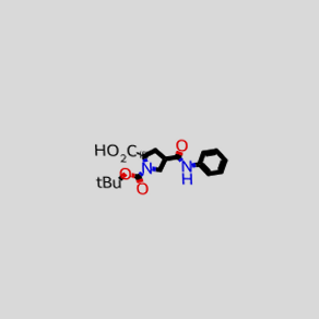 CC(C)(C)OC(=O)N1CC(C(=O)Nc2ccccc2)C[C@H]1C(=O)O